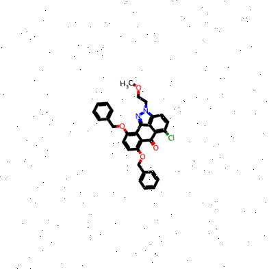 COCCn1nc2c3c(c(Cl)ccc31)C(=O)c1c(OCc3ccccc3)ccc(OCc3ccccc3)c1-2